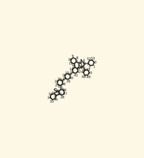 c1ccc(-c2nc3c4ccccc4c4cc(-c5ccc(-c6cccc(-c7cccc8c7sc7ccccc78)c6)cc5)ccc4n3c2-c2ccccc2)cc1